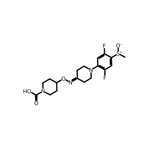 C[S+]([O-])c1cc(F)c(N2CCC(=NOC3CCN(C(=O)O)CC3)CC2)cc1F